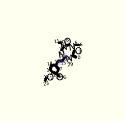 C=C1C(=O)N(CC)C(=O)N(CC)C/N=C(/C=C/c2ccc(OCC)c(OC)c2)N1C